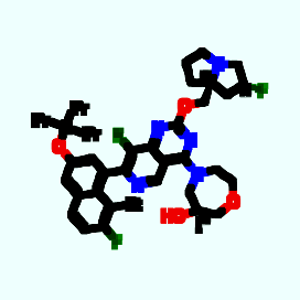 CCc1c(F)ccc2cc(O[Si](C(C)C)(C(C)C)C(C)C)cc(-c3ncc4c(N5CCOC[C@@](C)(O)C5)nc(OC[C@@]56CCCN5C[C@H](F)C6)nc4c3F)c12